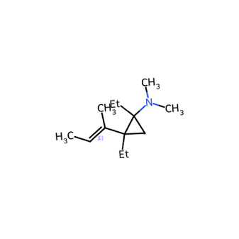 C/C=C(\C)C1(CC)CC1(CC)N(C)C